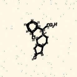 O=C1CC2=C(CCN([C@H](C(=O)O)c3ccccc3Cl)C2)S1